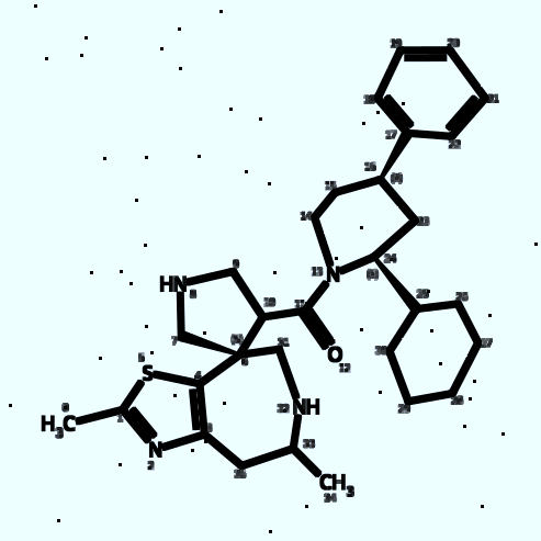 Cc1nc2c(s1)[C@@]1(CNCC1C(=O)N1CC[C@@H](c3ccccc3)C[C@H]1C1CCCCC1)CNC(C)C2